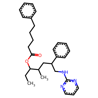 CCC(OC(=O)CCCCc1ccccc1)C(C)CC(CNc1ncccn1)c1ccccc1